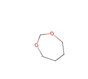 [CH]1CCCOCO1